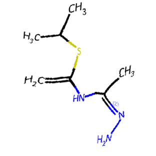 C=C(N/C(C)=N\N)SC(C)C